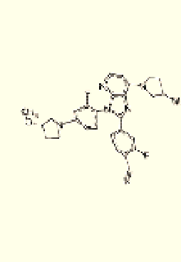 CO[C@H]1CCN(c2ccc(-n3c(-c4ccc(C#N)c(F)c4)nc4c(N5CCC(N)C5)ccnc43)c(F)c2)C1